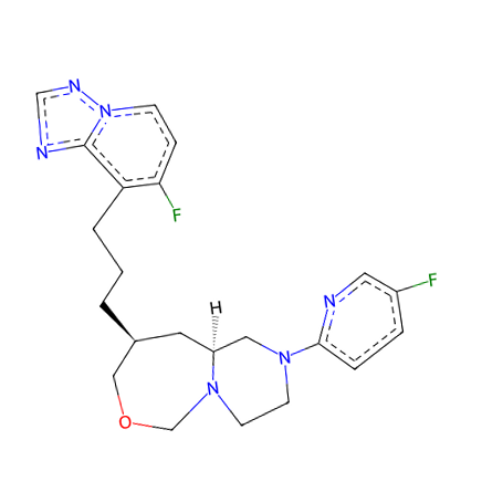 Fc1ccc(N2CCN3COC[C@@H](CCCc4c(F)ccn5ncnc45)C[C@H]3C2)nc1